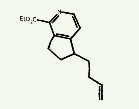 C=CCCC1CCc2c1ccnc2C(=O)OCC